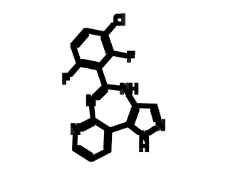 Fc1ccc(Cl)c(F)c1C1=Nc2ncccc2-c2[nH]ncc2N1